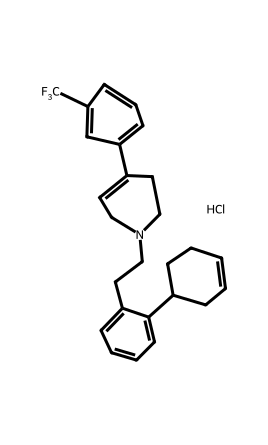 Cl.FC(F)(F)c1cccc(C2=CCN(CCc3ccccc3C3CC=CCC3)CC2)c1